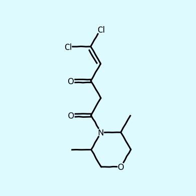 CC1COCC(C)N1C(=O)CC(=O)C=C(Cl)Cl